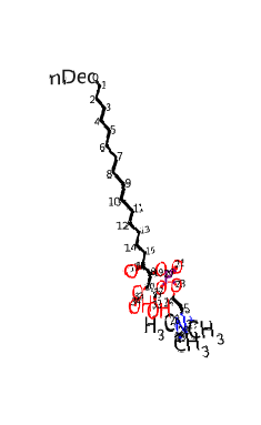 CCCCCCCCCCCCCCCCCCCCCCCCCC(=O)C(OP(=O)([O-])OCC[N+](C)(C)C)[C@H](CO)OO